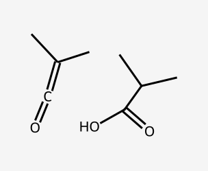 CC(C)=C=O.CC(C)C(=O)O